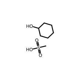 CS(=O)(=O)O.OC1CCCCC1